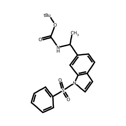 CC(NC(=O)OC(C)(C)C)c1ccc2ccn(S(=O)(=O)c3ccccc3)c2c1